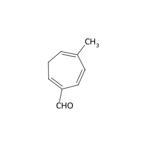 CC1=CCC=C(C=O)C=C1